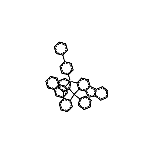 c1ccc(-c2ccc(N(c3ccc4c(oc5ccccc54)c3C3(c4ccccc4)c4ccccc4-c4ccccc43)c3cccc4ccccc34)cc2)cc1